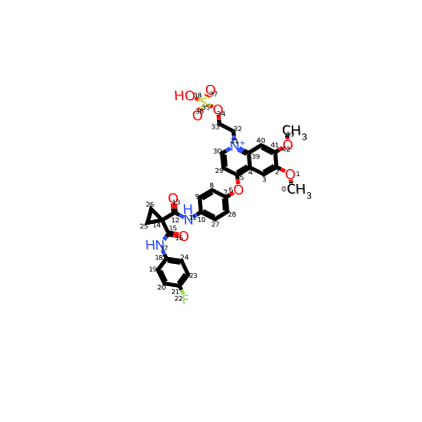 COc1cc2c(Oc3ccc(NC(=O)C4(C(=O)Nc5ccc(F)cc5)CC4)cc3)cc[n+](CCOS(=O)(=O)O)c2cc1OC